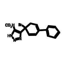 O=C(O)c1[nH]nnc1C1(Br)C=CC(c2ccccc2)=CC1